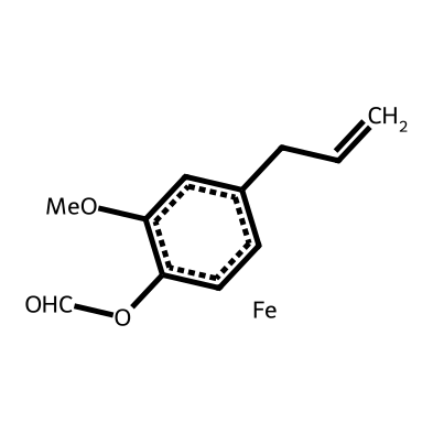 C=CCc1ccc(OC=O)c(OC)c1.[Fe]